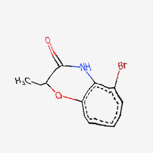 CC1Oc2cccc(Br)c2NC1=O